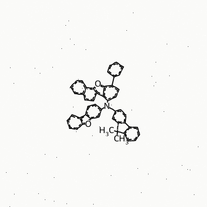 CC1(C)c2ccccc2-c2ccc(N(c3ccc4c(c3)oc3ccccc34)c3ccc(-c4ccccc4)c4oc5c6ccccc6ccc5c34)cc21